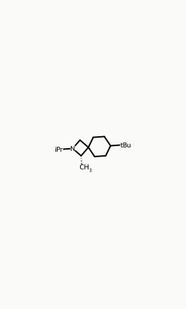 CC(C)N1CC2(CCC(C(C)(C)C)CC2)[C@@H]1C